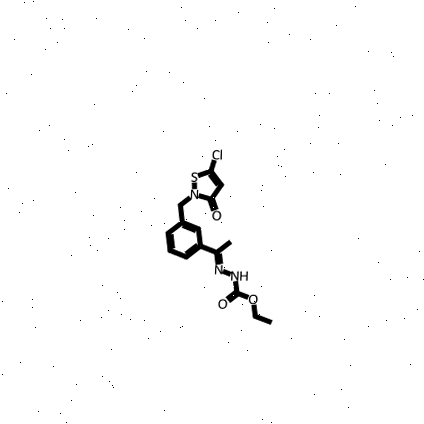 CCOC(=O)N/N=C(\C)c1cccc(Cn2sc(Cl)cc2=O)c1